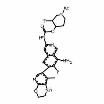 CC(=O)N1CCC(OC(=O)Nc2cc3cc(-c4cnc5c(c4C)NCCO5)c(F)c(N)c3cn2)C(F)C1